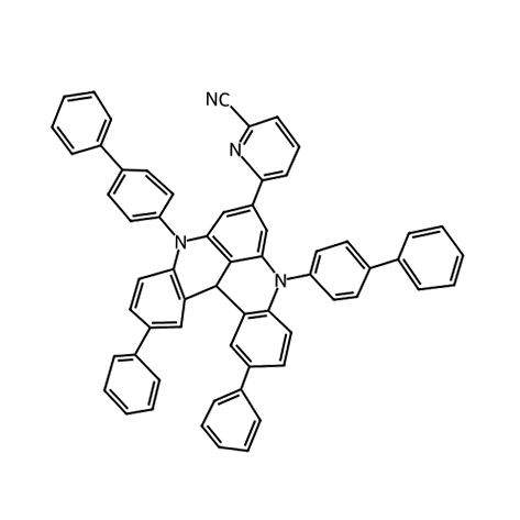 N#Cc1cccc(-c2cc3c4c(c2)N(c2ccc(-c5ccccc5)cc2)c2ccc(-c5ccccc5)cc2C4c2cc(-c4ccccc4)ccc2N3c2ccc(-c3ccccc3)cc2)n1